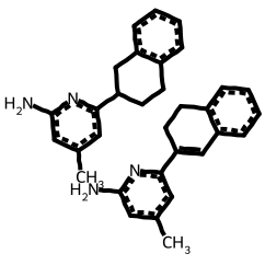 Cc1cc(N)nc(C2=Cc3ccccc3CC2)c1.Cc1cc(N)nc(C2CCc3ccccc3C2)c1